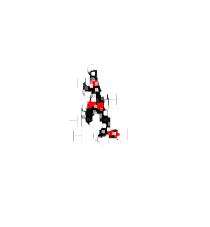 C[C@H]1COc2nc3[nH]ccc3cc2N1c1cc(N2CCN(CC3=C(c4ccc(Cl)cc4)CC(C)(C)CC3)CC2)ccc1C(=O)NS(=O)(=O)c1ccc(NCC2CCOCC2)c([N+](=O)[O-])c1